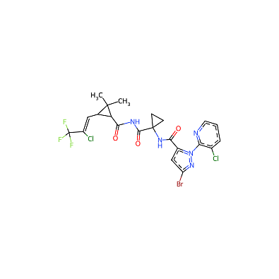 CC1(C)C(C=C(Cl)C(F)(F)F)C1C(=O)NC(=O)C1(NC(=O)c2cc(Br)nn2-c2ncccc2Cl)CC1